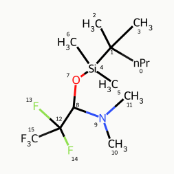 CCCC(C)(C)[Si](C)(C)OC(N(C)C)C(F)(F)C(F)(F)F